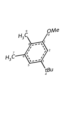 COc1cc(C(C)(C)C)cc(C)c1C